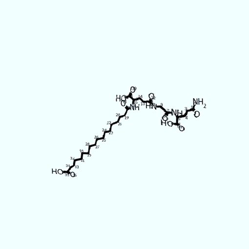 NC(=O)CCC(NC(=O)CNC(=O)CCC(NC(=O)CCCCCCCCCCCCCCCCC(=O)O)C(=O)O)C(=O)O